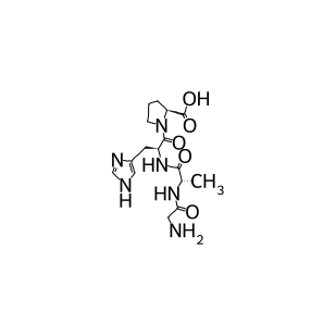 C[C@H](NC(=O)CN)C(=O)N[C@@H](Cc1c[nH]cn1)C(=O)N1CCC[C@H]1C(=O)O